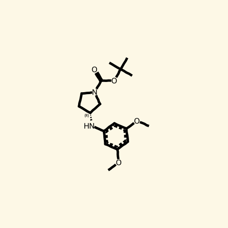 COc1cc(N[C@@H]2CCN(C(=O)OC(C)(C)C)C2)cc(OC)c1